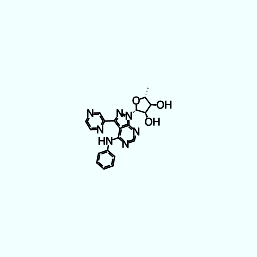 C[C@H]1O[C@@H](n2nc(-c3cnccn3)c3c(Nc4ccccc4)ncnc32)[C@H](O)[C@@H]1O